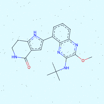 COc1nc2cccc(-c3cc4c([nH]3)CCNC4=O)c2nc1NC(C)(C)C